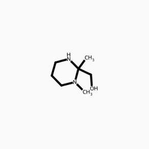 CN1CCCNC1(C)CO